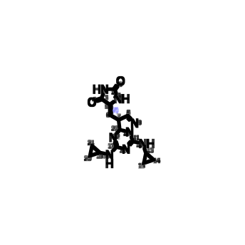 O=C1NC(=O)/C(=C/C2C=NN3C(NC4CC4)=NC(NC4CC4)=NC23)N1